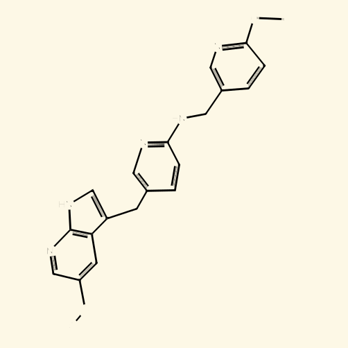 COc1cnc2[nH]cc(Cc3ccc(NCc4ccc(OC)nc4)nc3)c2c1